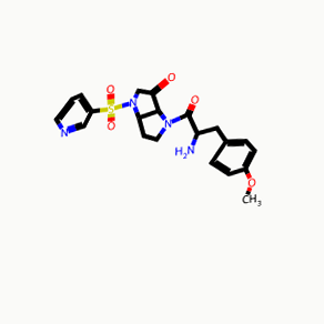 COc1ccc(CC(N)C(=O)N2CCC3C2C(=O)CN3S(=O)(=O)c2cccnc2)cc1